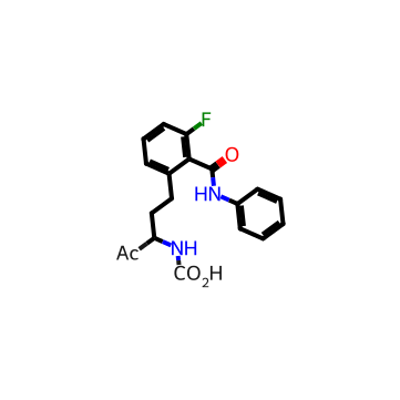 CC(=O)C(CCc1cccc(F)c1C(=O)Nc1ccccc1)NC(=O)O